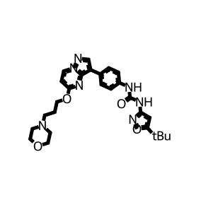 CC(C)(C)c1cc(NC(=O)Nc2ccc(-c3cnn4ccc(OCCCN5CCOCC5)nc34)cc2)no1